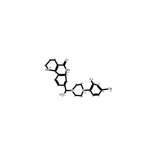 CC(c1ccc2c3c(c(=O)[nH]c2c1)CCCN3)N1CCN(c2ccc(C#N)cc2F)CC1